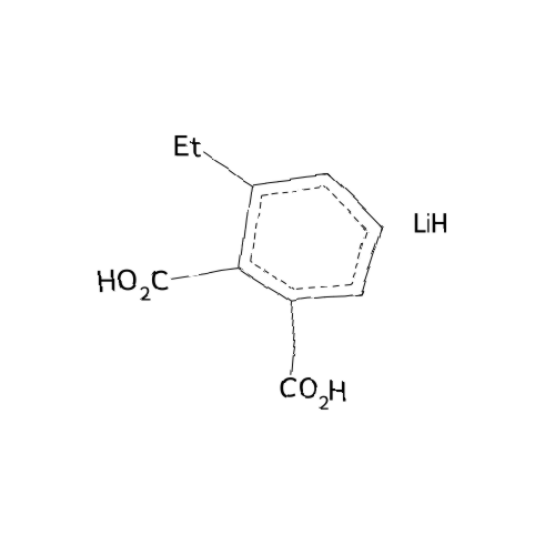 CCc1cccc(C(=O)O)c1C(=O)O.[LiH]